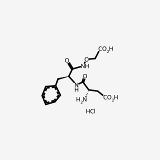 Cl.N[C@@H](CC(=O)O)C(=O)N[C@@H](Cc1ccccc1)C(=O)NOCC(=O)O